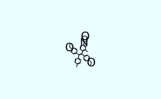 COc1ccc(C(=C(c2ccc(OC)cc2)c2ccc(N3CCOCC3)cc2C)c2ccc(C)cc2)cc1